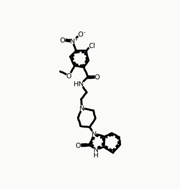 COc1cc([N+](=O)[O-])c(Cl)cc1C(=O)NCCN1CCC(n2c(=O)[nH]c3ccccc32)CC1